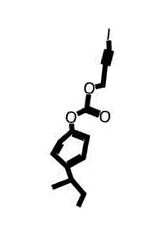 CCC(C)c1ccc(OC(=O)OCC#CI)cc1